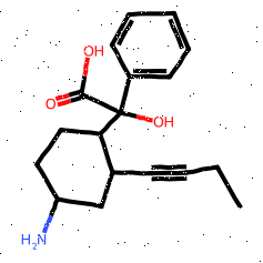 CCC#CC1CC(N)CCC1C(O)(C(=O)O)c1ccccc1